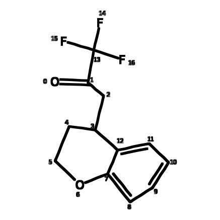 O=C(CC1CCOc2ccccc21)C(F)(F)F